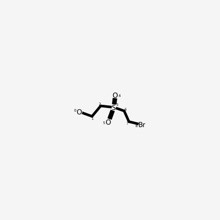 [O]CCS(=O)(=O)CCBr